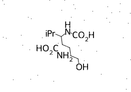 CC(C)C(CCCCO)NC(=O)O.NC(=O)O